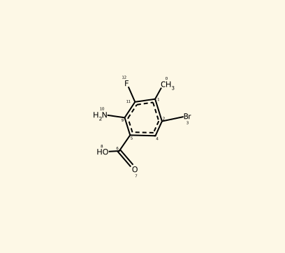 Cc1c(Br)cc(C(=O)O)c(N)c1F